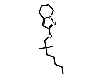 CCCCCC(C)(C)COc1cc2n(n1)CCCC2